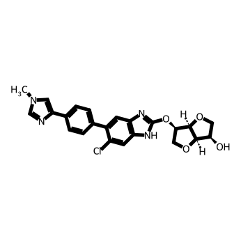 Cn1cnc(-c2ccc(-c3cc4nc(O[C@@H]5CO[C@H]6[C@@H]5OC[C@H]6O)[nH]c4cc3Cl)cc2)c1